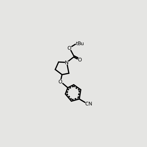 CC(C)(C)OC(=O)N1CCC(Oc2ccc(C#N)cc2)C1